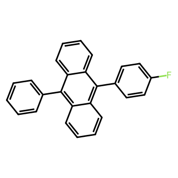 Fc1ccc(-c2c3ccccc3c(-c3ccccc3)c3ccccc23)cc1